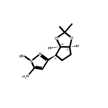 CC1(C)O[C@H]2[C@H](CC[C@H]2c2cc(N)n(C(C)(C)C)n2)O1